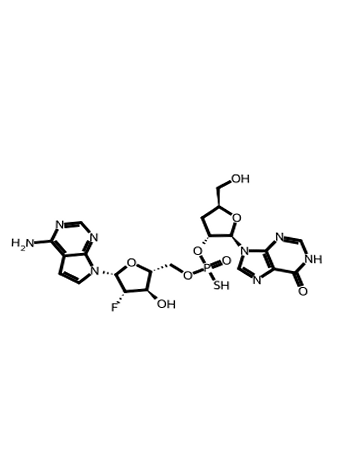 Nc1ncnc2c1ccn2[C@@H]1O[C@H](COP(=O)(S)O[C@@H]2C[C@@H](CO)O[C@H]2n2cnc3c(=O)[nH]cnc32)[C@@H](O)[C@@H]1F